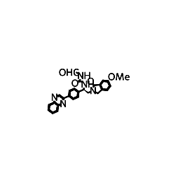 COc1ccc2c(c1)C(=O)N(C[C@H](NC(=O)NC=O)c1ccc(-c3cnc4ccccc4n3)cc1)C2